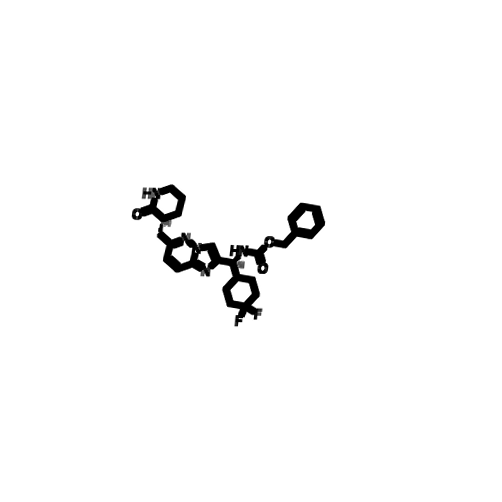 O=C(N[C@H](c1cn2nc(C[C@H]3CCCNC3=O)ccc2n1)C1CCC(F)(F)CC1)OCc1ccccc1